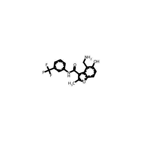 Cc1oc2ccc(O)c(CN)c2c1C(=O)Nc1cccc(C(F)(F)F)c1